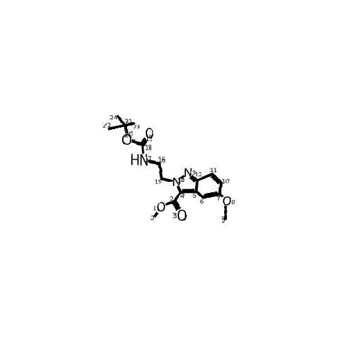 COC(=O)c1c2cc(OC)ccc2nn1CCNC(=O)OC(C)(C)C